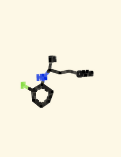 CCC(CCOC)Nc1ccccc1F